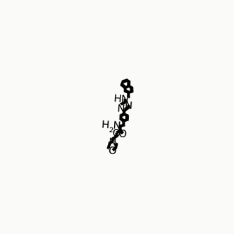 N[C@@H](Cc1ccc(-c2cnc(NCc3ccc4ccccc4c3)cn2)cc1)C(=O)OCCN1CCOCC1